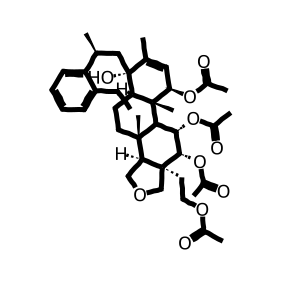 CCc1ccccc1[C@@H](C)C[C@@]1(O)C(C)=C[C@@H](OC(C)=O)[C@]2(C)C3[C@H](OC(C)=O)[C@H](OC(C)=O)[C@@]4(CCOC(C)=O)COC[C@H]4[C@]3(C)CC[C@H]21